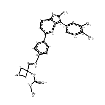 Cc1nc2ccc(-c3ccc(OCC4(NC(=O)OC(C)C)COC4)cc3)nn2c1-c1cnc(N)c(C(F)(F)F)c1